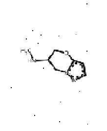 CNC1COc2ccnn2C1